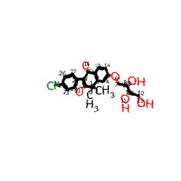 CC1(C)c2cc(OC[C@@H](O)[C@H](O)CO)ccc2C(=O)c2c1oc1cc(Cl)ccc21